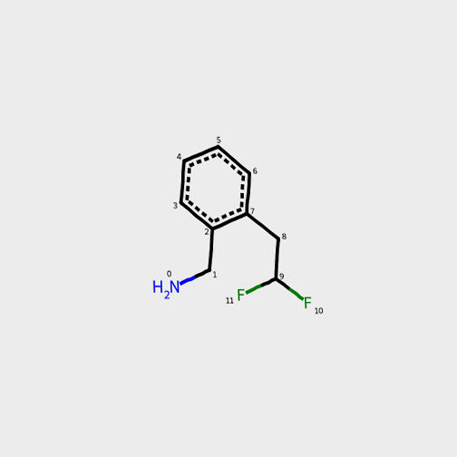 NCc1ccccc1CC(F)F